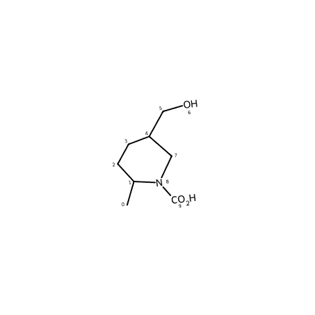 CC1CCC(CO)CN1C(=O)O